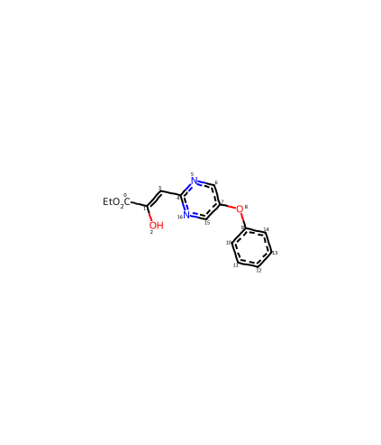 CCOC(=O)/C(O)=C/c1ncc(Oc2ccccc2)cn1